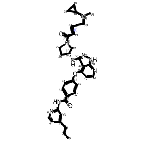 CCCc1ccnc(NC(=O)c2ccc(Oc3ccnc4[nH]nc(N[C@@H]5CCN(C(=O)/C=C/CN(C)C6CC6)C5)c34)cc2)c1